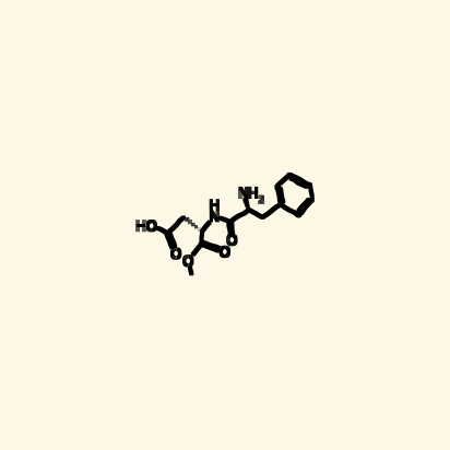 COC(=O)[C@H](CC(=O)O)NC(=O)[C@@H](N)Cc1ccccc1